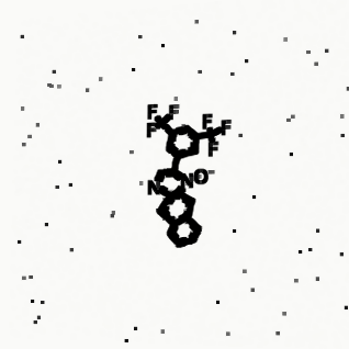 [O-][n+]1c(-c2cc(C(F)(F)F)cc(C(F)(F)F)c2)cnc2cc3ccccc3cc21